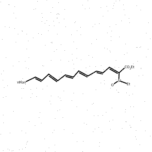 CCCCCCCCCC=CC=CC=CC=CC=CC=C(C(=O)OCC)[S+]([O-])CC